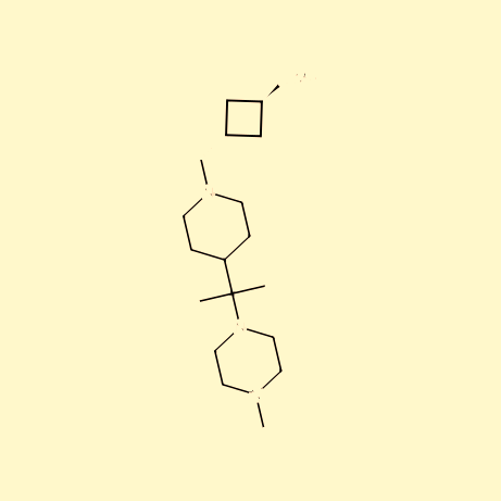 CO[C@H]1C[C@H](CN2CCC(C(C)(C)N3CCN(C)CC3)CC2)C1